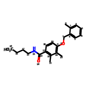 Cc1ccccc1COc1ccc(C(=O)NCCCC(=O)O)c(C)c1C